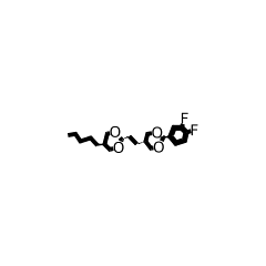 CCCCC[C@H]1CO[C@H](CC[C@H]2CO[C@H](c3ccc(F)c(F)c3)OC2)OC1